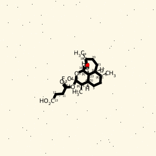 C[C@@H]1CC[C@H]2[C@@H](C)[C@](OC(=O)CCC(=O)O)(C(F)(F)F)O[C@@H]3O[C@]4(C)CC[C@@H]1[C@]32OO4